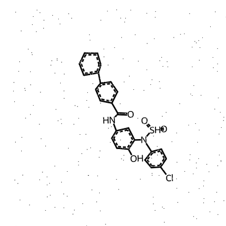 O=C(Nc1ccc(O)c(N(c2ccc(Cl)cc2)[SH](=O)=O)c1)c1ccc(-c2ccccc2)cc1